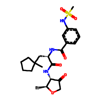 CC[C@@H]1OCC(=O)[C@H]1NC(=O)[C@H](CC1(C)CCCC1)NC(=O)c1cccc(NS(C)(=O)=O)c1